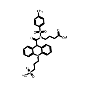 Cc1ccc(S(=O)(=O)N(CCCC(=O)O)C(=O)C2c3ccccc3N(CCCS(=O)(=O)O)c3ccccc32)cc1